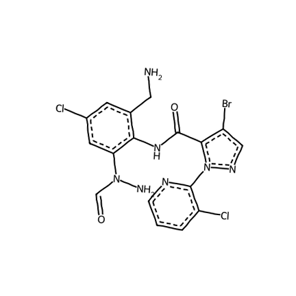 NCc1cc(Cl)cc(N(N)C=O)c1NC(=O)c1c(Br)cnn1-c1ncccc1Cl